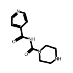 O=C(NC(=O)N1CCNCC1)c1ccncc1